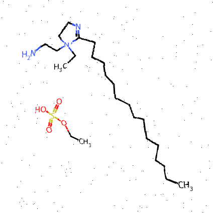 CCCCCCCCCCCCCCCC1=NCC[N+]1(CC)CCN.CCOS(=O)(=O)O